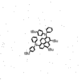 CC(C)(C)c1ccc(N(c2ccccc2)c2ccc3c(C(C)(C)C)cc4c(C(C)(C)C)cc(N(c5ccccc5)c5ccc(C(C)(C)C)cc5)c5ccc2c3c54)cc1